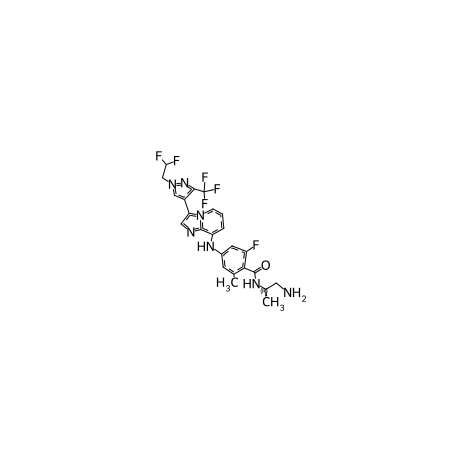 Cc1cc(Nc2cccn3c(-c4cn(CC(F)F)nc4C(F)(F)F)cnc23)cc(F)c1C(=O)N[C@H](C)CN